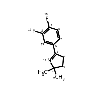 CC1(C)CCC(c2ccc(F)c(F)c2)=N1